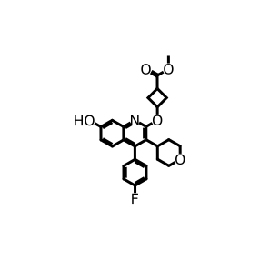 COC(=O)C1CC(Oc2nc3cc(O)ccc3c(-c3ccc(F)cc3)c2C2CCOCC2)C1